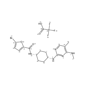 CNc1nc(N[C@H]2CC[C@@H](NC(=O)c3ccc(Br)o3)CC2)ncc1C.O=C(O)C(F)(F)F